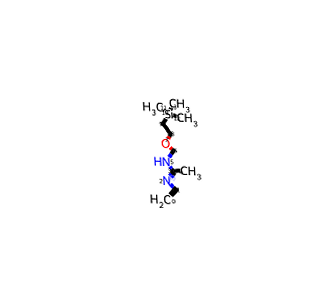 C=C/N=C(\C)NCOCC[Si](C)(C)C